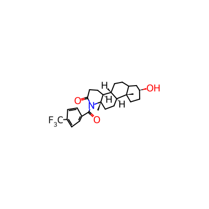 C[C@]12CC[C@H](O)CC1CC[C@@H]1[C@@H]2CC[C@@]2(C)[C@H]1CCC(=O)N2C(=O)c1ccc(C(F)(F)F)cc1